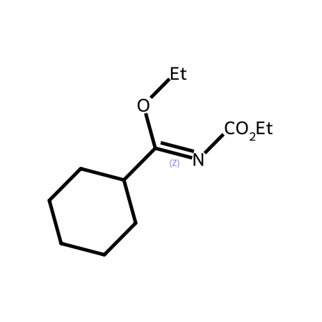 CCOC(=O)/N=C(\OCC)C1CCCCC1